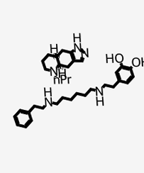 CCCN1CCC[C@@H]2Cc3[nH]ncc3C[C@H]21.Oc1ccc(CCNCCCCCCNCCc2ccccc2)cc1O